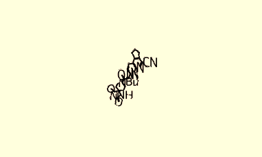 CN1C(=O)NC2(CCN(C(=O)CN3C=Cc4c(nc(C#N)c5c4CCC5)N3CC(C)(C)C)CC2)C1=O